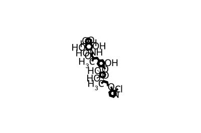 CC(=Cc1ccc(O[C@@H]2O[C@H](/C(C)=C/COc3cccnc3Cl)[C@@H](O)[C@@H]2O)c(O)c1)C(=O)N[C@@H]1[C@H](O)[C@@H](O)[C@H]2OCO[C@H]2[C@@H]1O